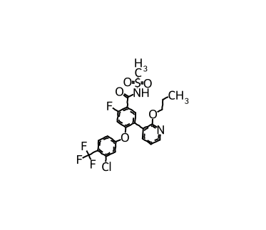 CCCOc1ncccc1-c1cc(C(=O)NS(C)(=O)=O)c(F)cc1Oc1ccc(C(F)(F)F)c(Cl)c1